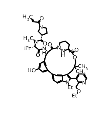 C=CC(=O)N1CC[C@H](C(=O)N(C)[C@H](C(=O)N[C@H]2Cc3cc(O)cc(c3)-c3ccc4c(c3)c(c(-c3cccnc3COCC)n4CC)CC(C)(C)COC(=O)[C@@H]3CCCN(N3)C2=O)C(C)C)C1